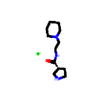 Cl.O=C(NCCN1CCCCC1)[C@@H]1CCNC1